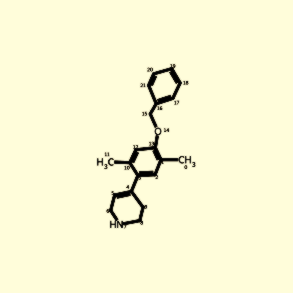 Cc1cc(C2=CCNCC2)c(C)cc1OCc1ccccc1